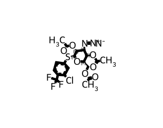 CC(=O)OC[C@H]1O[C@H](Sc2ccc(C(F)(F)F)c(Cl)c2)[C@H](OC(C)=O)[C@@H](N=[N+]=[N-])[C@H]1OC(C)=O